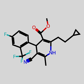 COC(=O)C1=C(CCC2CC2)NC(C)=C(C#N)C1c1ccc(F)cc1C(F)(F)F